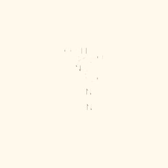 C#CCN1CCN(c2ccc3c(=O)c(C(=O)O)cn4c3c2CCC4C)CC1